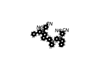 N#Cc1ccc(-n2c3ccc(-c4ccccc4)cc3c3c4cccc(-c5ccc6c(c5)c5ccccc5n6-c5ccc6c(c5)c5c7ccccc7ccc5n6-c5ccc(C#N)c(C#N)c5)c4ccc32)c(C#N)c1